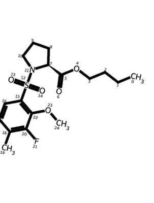 CCCCOC(=O)[C@@H]1CCCN1S(=O)(=O)c1ccc(C)c(F)c1OC